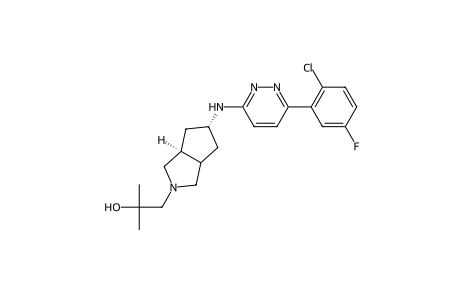 CC(C)(O)CN1CC2C[C@@H](Nc3ccc(-c4cc(F)ccc4Cl)nn3)C[C@@H]2C1